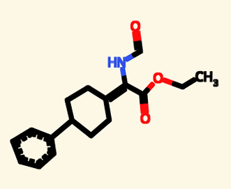 CCOC(=O)C(NC=O)=C1CCC(c2ccccc2)CC1